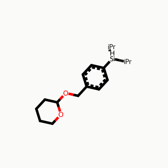 CC(C)[SiH](c1ccc(COC2CCCCO2)cc1)C(C)C